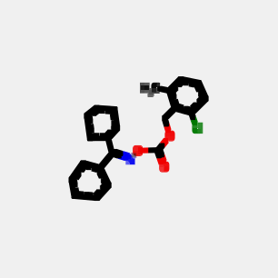 Cc1cccc(Cl)c1COC(=O)ON=C(c1ccccc1)c1ccccc1